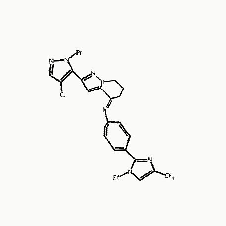 CCn1cc(C(F)(F)F)nc1-c1ccc(N=C2CCCn3nc(-c4c(Cl)cnn4C(C)C)cc32)cc1